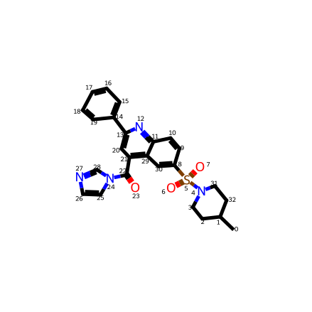 CC1CCN(S(=O)(=O)c2ccc3nc(-c4ccccc4)cc(C(=O)n4ccnc4)c3c2)CC1